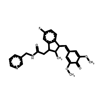 COC1=CC(=CC2c3ccc(F)cc3C(CC(=O)NCc3cccnc3)C2C)C=C(OC)C1=O